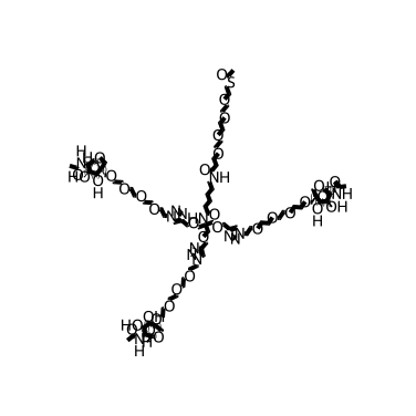 CC(=O)N[C@H]1[C@@H]2OC[C@](COCCOCCOCCOCCn3cc(COCC(COCc4cn(CCOCCOCCOCCOC[C@@]56CO[C@@H](O5)[C@H](NC(C)=O)[C@@H](O)[C@H]6O)nn4)(COCc4cn(CCOCCOCCOCCO[C@@]56CO[C@@H](O5)[C@H](NC(C)=O)[C@@H](O)[C@H]6O)nn4)NC(=O)CCCCCNC(=O)CCOCCOCCOCCOCCSC(C)=O)nn3)(O2)[C@H](O)[C@@H]1O